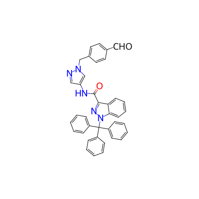 O=Cc1ccc(Cn2cc(NC(=O)c3nn(C(c4ccccc4)(c4ccccc4)c4ccccc4)c4ccccc34)cn2)cc1